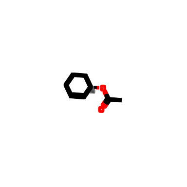 CC(=O)O[C@@H]1C=CCCC1